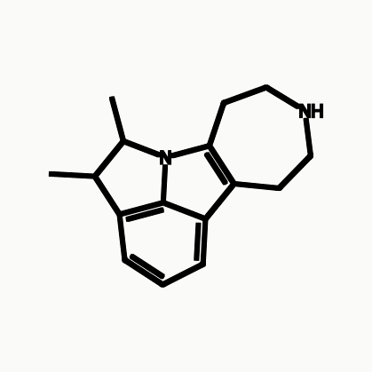 CC1c2cccc3c4c(n(c23)C1C)CCNCC4